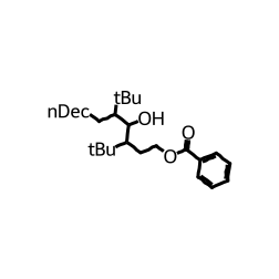 CCCCCCCCCCCC(C(O)C(CCOC(=O)c1ccccc1)C(C)(C)C)C(C)(C)C